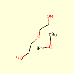 CCCCOC(C)C.OCCOCCO